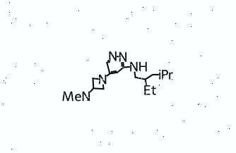 CCC(CNc1cc(N2CC(NC)C2)cnn1)CC(C)C